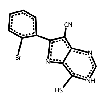 N#Cc1c(-c2ccccc2Br)nc2c(S)[nH]cnc1-2